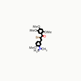 COc1cc(OC)c(C(=O)C(Br)=Cc2ccc(OC)c(N(C)C)c2)cc1OC